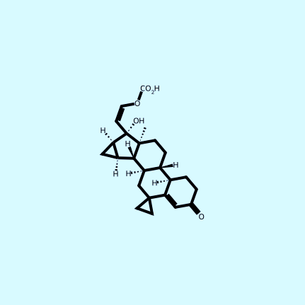 C[C@]12CC[C@H]3[C@@H](CC4(CC4)C4=CC(=O)CC[C@@H]43)[C@@H]1[C@H]1C[C@H]1[C@@]2(O)/C=C\OC(=O)O